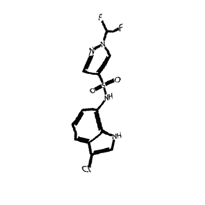 O=S(=O)(Nc1cccc2c(Cl)c[nH]c12)c1cnn(C(F)F)c1